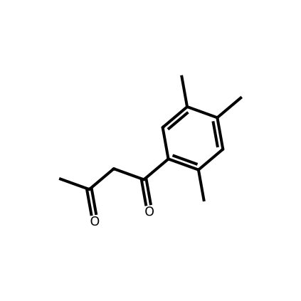 CC(=O)CC(=O)c1cc(C)c(C)cc1C